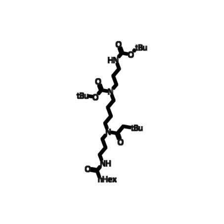 CCCCCCC(=O)NCCCN(CCCCN(CCCNC(=O)OC(C)(C)C)C(=O)OC(C)(C)C)C(=O)CC(C)(C)C